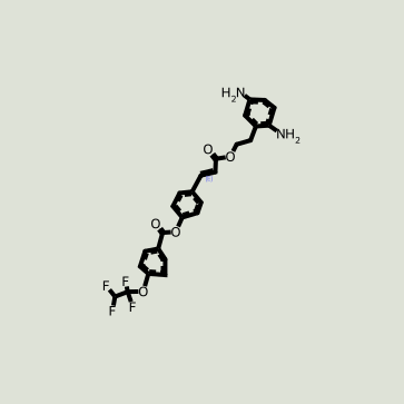 Nc1ccc(N)c(CCOC(=O)/C=C/c2ccc(OC(=O)c3ccc(OC(F)(F)C(F)F)cc3)cc2)c1